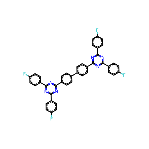 Fc1ccc(-c2nc(-c3ccc(F)cc3)nc(-c3ccc(-c4ccc(-c5nc(-c6ccc(F)cc6)nc(-c6ccc(F)cc6)n5)cc4)cc3)n2)cc1